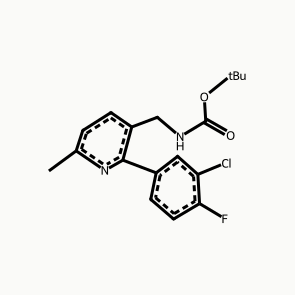 Cc1ccc(CNC(=O)OC(C)(C)C)c(-c2ccc(F)c(Cl)c2)n1